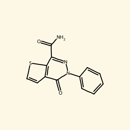 NC(=O)c1nn(-c2ccccc2)c(=O)c2ccsc12